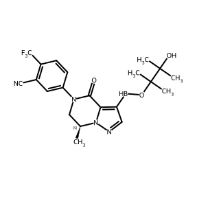 C[C@H]1CN(c2ccc(C(F)(F)F)c(C#N)c2)C(=O)c2c(BOC(C)(C)C(C)(C)O)cnn21